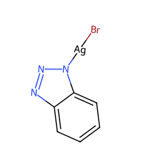 [Br][Ag][n]1nnc2ccccc21